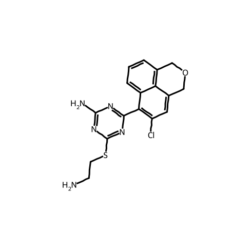 NCCSc1nc(N)nc(-c2c(Cl)cc3c4c(cccc24)COC3)n1